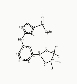 COC(=O)c1csc(Nc2cccc(B3OC(C)(C)C(C)(C)O3)c2)n1